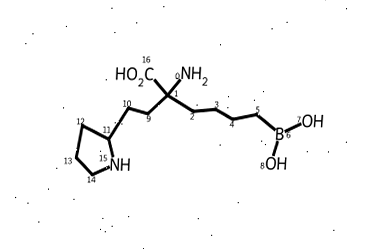 NC(CCCCB(O)O)(CCC1CCCN1)C(=O)O